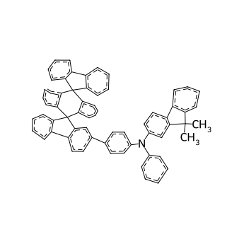 CC1(C)c2ccccc2-c2ccc(N(c3ccccc3)c3ccc(-c4ccc5c(c4)C4(c6ccccc6-5)c5ccccc5C5(c6ccccc6-c6ccccc65)c5ccccc54)cc3)cc21